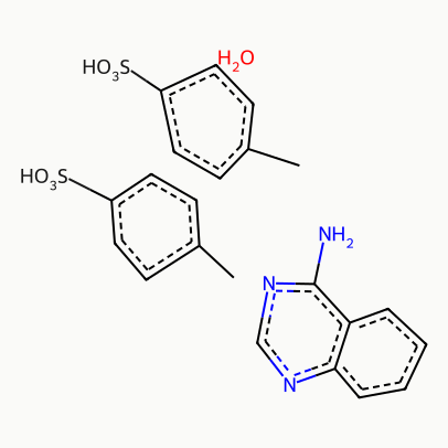 Cc1ccc(S(=O)(=O)O)cc1.Cc1ccc(S(=O)(=O)O)cc1.Nc1ncnc2ccccc12.O